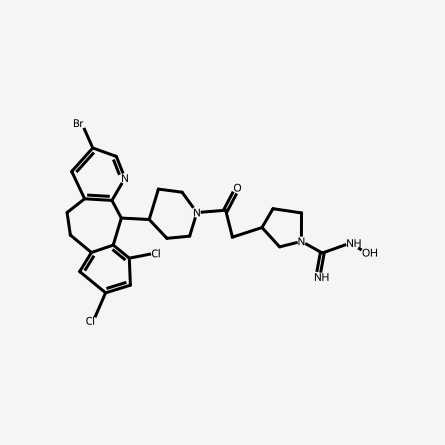 N=C(NO)N1CCC(CC(=O)N2CCC(C3c4ncc(Br)cc4CCc4cc(Cl)cc(Cl)c43)CC2)C1